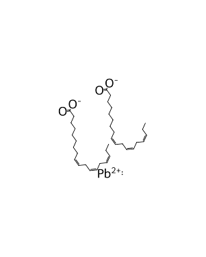 CC/C=C\C/C=C\C/C=C\CCCCCCCC(=O)[O-].CC/C=C\C/C=C\C/C=C\CCCCCCCC(=O)[O-].[Pb+2]